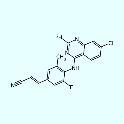 [2H]c1nc(Nc2c(C)cc(C=CC#N)cc2F)c2ccc(Cl)cc2n1